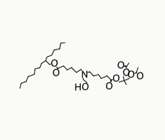 CCCCCCCCC(CCCCCC)COC(=O)CCCCCN(CCO)CCCCCC(=O)OCC(C)(COC(C)=O)COC(C)=O